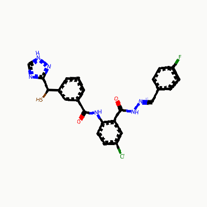 O=C(Nc1ccc(Cl)cc1C(=O)N/N=C/c1ccc(F)cc1)c1cccc(C(S)c2nc[nH]n2)c1